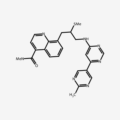 CNC(=O)c1ccnc2c(CC(CNc3cc(-c4cnc(C)nc4)ncn3)SC)cccc12